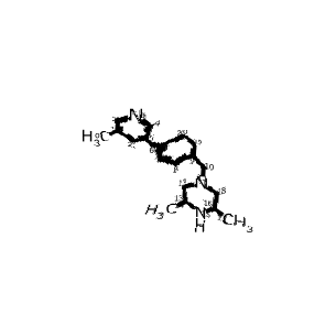 Cc1cncc(-c2ccc(CN3CC(C)NC(C)C3)cc2)c1